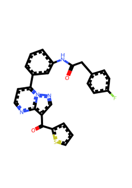 O=C(Cc1ccc(F)cc1)Nc1cccc(-c2ccnc3c(C(=O)c4cccs4)cnn23)c1